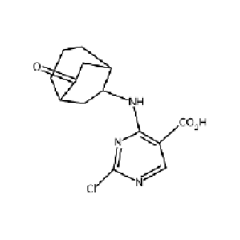 O=C(O)c1cnc(Cl)nc1NC1CC2CCCC1CC2=O